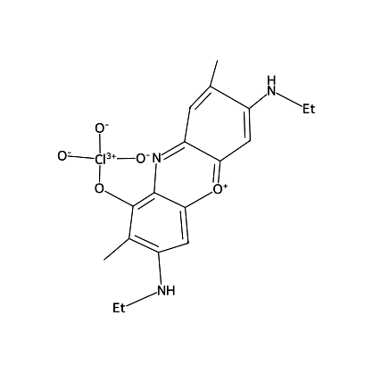 CCNc1cc2[o+]c3cc(NCC)c(C)c(O[Cl+3]([O-])([O-])[O-])c3nc2cc1C